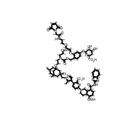 CCC1(Cn2ncc(-c3ccc(N4CCc5c(OC)ccc(C(=O)Nc6nc7ccccc7s6)c5C4)nc3C(=O)O)c2C)CC2(C)CC(C)CC(OCCN(CCOC)C(=O)OCc3ccc(O[C@@H]4O[C@H](C(=O)O)C[C@H](O)[C@H]4O)cc3OCCOCCNC(=O)CN3C(=O)C=CC3=O)(C2)C1